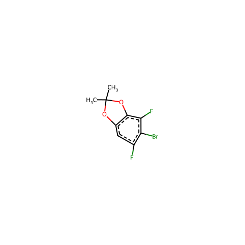 CC1(C)Oc2cc(F)c(Br)c(F)c2O1